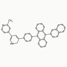 Cc1cc(C2=CNCC(c3ccc(-c4c5ccccc5c(-c5ccc6ccccc6c5)c5ccccc45)cc3)=C2)ccn1